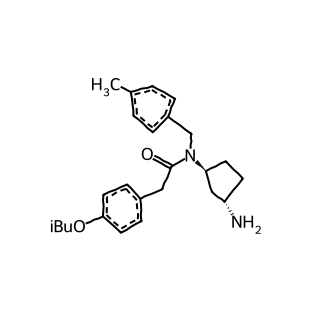 Cc1ccc(CN(C(=O)Cc2ccc(OCC(C)C)cc2)[C@H]2CC[C@H](N)C2)cc1